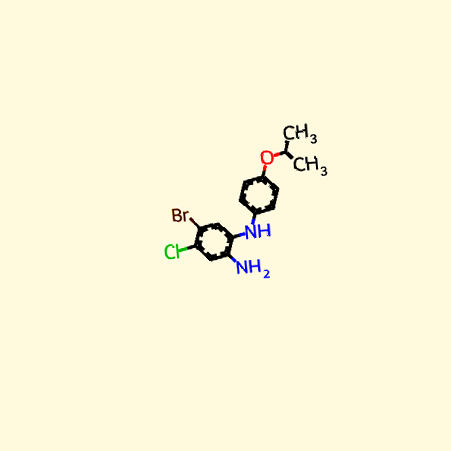 CC(C)Oc1ccc(Nc2cc(Br)c(Cl)cc2N)cc1